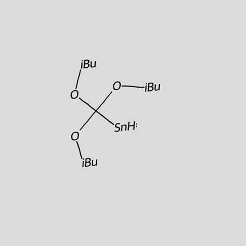 CCC(C)O[C]([SnH])(OC(C)CC)OC(C)CC